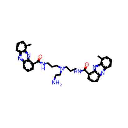 Cc1cccc2nc3cccc(C(=O)NCCCN(CCN)CCCNC(=O)c4cccc5nc6cccc(C)c6nc45)c3nc12